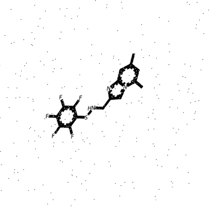 Cc1cc(C)n2cc(CNSc3c(F)c(F)c(F)c(F)c3F)nc2c1